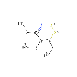 CC(C)CC1=NSSC(CC(C)C)=C1CC(C)C